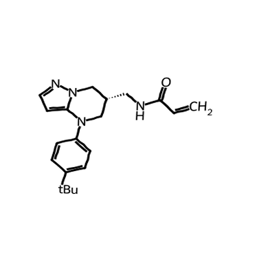 C=CC(=O)NC[C@@H]1CN(c2ccc(C(C)(C)C)cc2)c2ccnn2C1